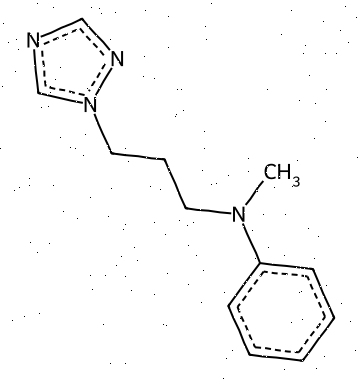 CN(CCCn1cncn1)c1ccccc1